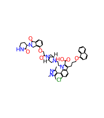 Cc1nn(C)c(C)c1-c1c(Cl)ccc2c(CCCOc3cccc4ccccc34)c(C(=O)O)n(CCN3C[C@@H]4C[C@H]3CN4C(=O)COc3cccc4c3CN(C3CCCNC3=O)C4=O)c12